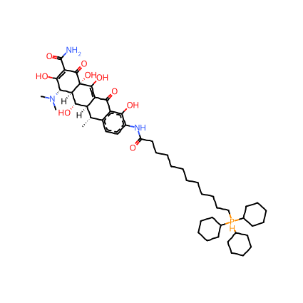 C[C@H]1c2ccc(NC(=O)CCCCCCCCCCC[PH](C3CCCCC3)(C3CCCCC3)C3CCCCC3)c(O)c2C(=O)C2=C(O)[C@]3(O)C(=O)C(C(N)=O)=C(O)[C@@H](N(C)C)[C@@H]3[C@@H](O)[C@@H]21